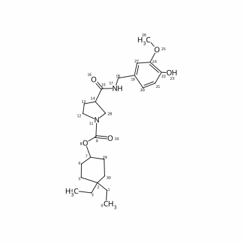 CCC1(CC)CCC(OC(=O)N2CCC(C(=O)NCc3ccc(O)c(OC)c3)C2)CC1